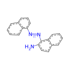 Nc1ccc2ccccc2c1/N=N/c1cccc2ccccc12